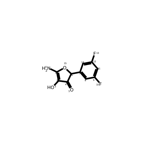 NC1=C(O)C(=O)C(c2cc(F)cc(F)c2)O1